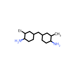 CCC1CC(CC2CCC(N)C(C)C2)CCC1N